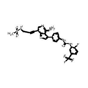 CS(=O)(=O)NCC#Cc1cnc(N)c2c(-c3ccc(NC(=O)Nc4cc(C(F)(F)F)ccc4F)cc3)csc12